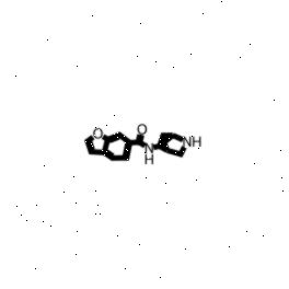 O=C(NC1CC2CC1CN2)c1ccc2ccoc2c1